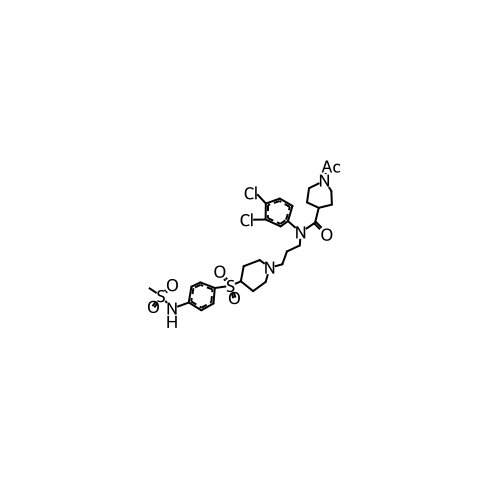 CC(=O)N1CCC(C(=O)N(CCCN2CCC(S(=O)(=O)c3ccc(NS(C)(=O)=O)cc3)CC2)c2ccc(Cl)c(Cl)c2)CC1